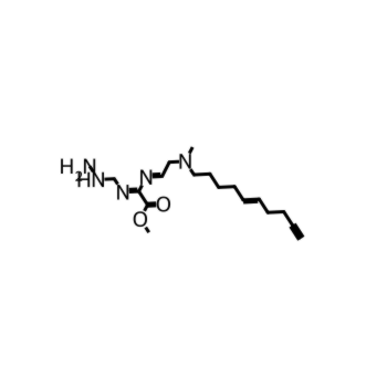 C#CCCC=CCCCCN(C)C/C=N/C(=N\CNN)C(=O)OC